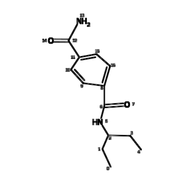 CCC(CC)NC(=O)c1ccc(C(N)=O)cc1